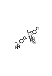 Cc1nnc(-c2ccc(OC[C@@H]3CO[C@@](Cn4cncn4)(c4ccc(Cl)cc4Cl)O3)cc2)o1